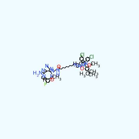 CCOc1cc(C(C)(C)C)ccc1C1=N[C@]2(c3ccc(Cl)cc3)c3cc(Cl)ccc3[C@@]2(C)N1C(=O)N1CCN(CCCCCCCCC(=O)NCCn2nc(C#N)c3c2CN(C)C(=O)c2ccc(F)cc2[C@H]2CCCN2c2cc-3cnc2N)CC1